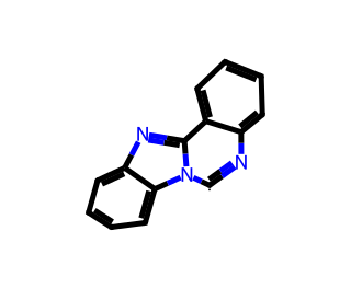 [c]1nc2ccccc2c2nc3ccccc3n12